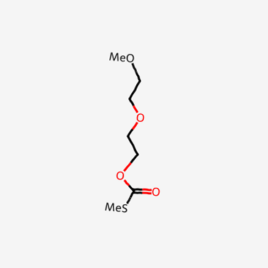 COCCOCCOC(=O)SC